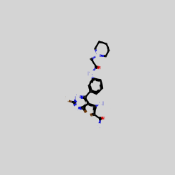 CSc1nc(-c2cccc(NC(=O)CN3CCCCC3)c2)c2c(N)c(C(N)=O)sc2n1